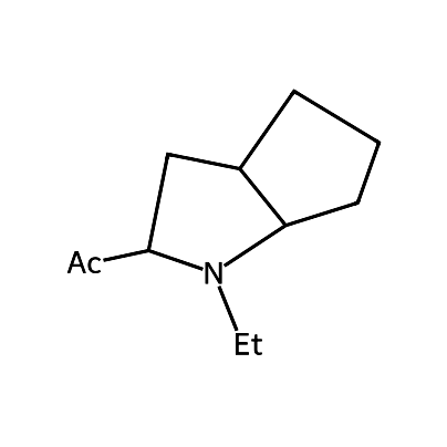 CCN1C(C(C)=O)CC2CCCC21